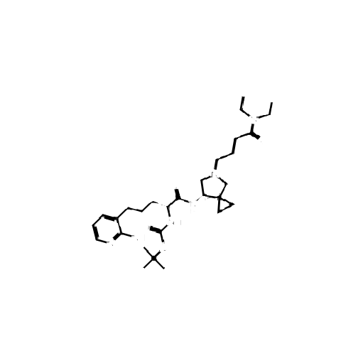 CCN(CC)C(=O)CCCN1C[C@H](NC(=O)[C@H](CCCc2cccnc2N)NC(=O)OC(C)(C)C)C2(CC2)C1